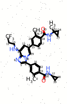 Cc1cc(-c2cnc3c(NCCC(F)(F)F)cc(-c4ccc(C(=O)NC5(C)CC5)c(C)c4)cn23)ccc1C(=O)NC1CC1